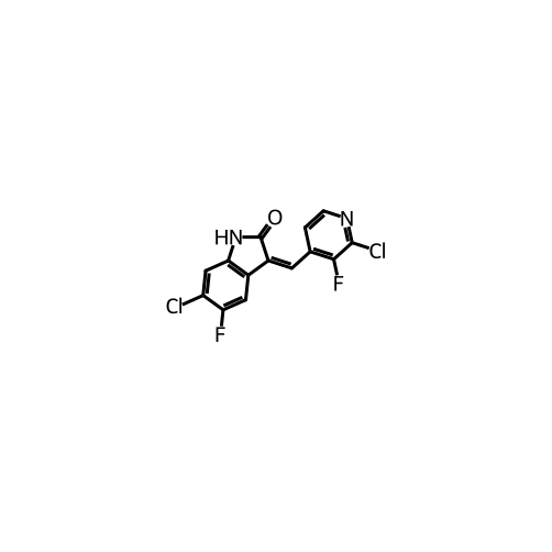 O=C1Nc2cc(Cl)c(F)cc2C1=Cc1ccnc(Cl)c1F